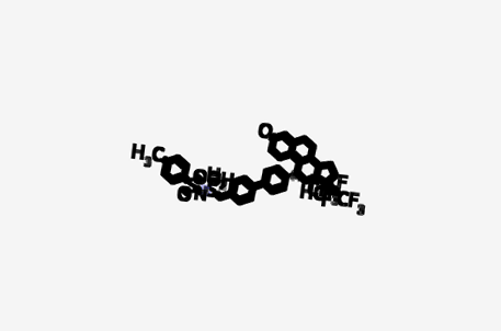 Cc1ccc(S(=O)(=O)/N=[SH2](\O)Cc2ccc(-c3ccc([C@H]4C[C@@]5(C)C(CC[C@]5(O)C(F)(F)C(F)(F)F)C5CCC6=CC(=O)CCC6=C54)cc3)cc2)cc1